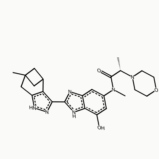 C[C@@H](C(=O)N(C)c1cc(O)c2[nH]c(-c3n[nH]c4c3C3CC(C)(C4)C3)nc2c1)N1CCOCC1